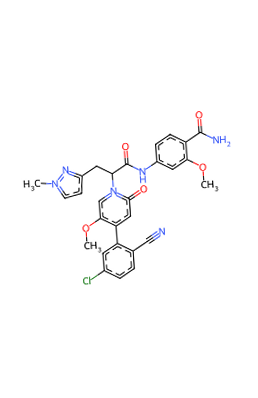 COc1cc(NC(=O)C(Cc2ccn(C)n2)n2cc(OC)c(-c3cc(Cl)ccc3C#N)cc2=O)ccc1C(N)=O